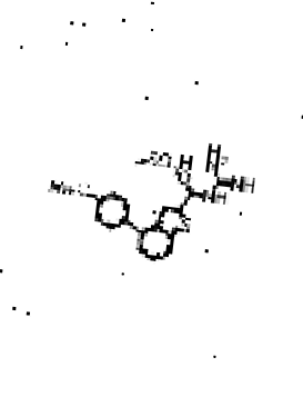 COc1ccc(-c2cccc3sc(C(=O)NC(=N)N)cc23)cc1.CS(=O)(=O)O